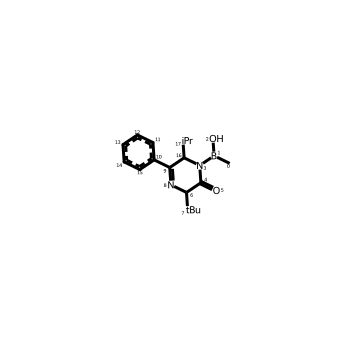 CB(O)N1C(=O)C(C(C)(C)C)N=C(c2ccccc2)C1C(C)C